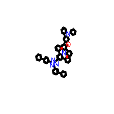 c1ccc(-c2ccc(-c3nc(-c4cccc(-c5ccccc5)c4)nc(-c4cc(-c5ccccc5)c(-n5c6ccccc6c6c7oc8cc9c(cc8c7ccc65)c5ccccc5n9-c5ccccc5)c(-c5ccccc5)c4)n3)cc2)cc1